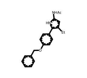 CCc1cc(NC(C)=O)[nH]c1-c1ccc(OCc2ccccc2)cc1